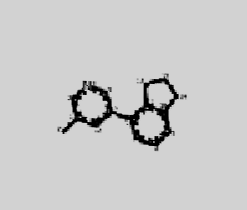 Cc1cncc(-c2cccc3c2CC[CH]3)c1